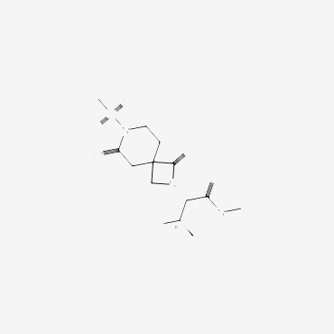 CNC(=O)[C@H]([C@@H](C)O)N1CC2(CCN(S(C)(=O)=O)C(=O)C2)C1=O